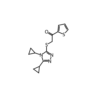 O=C(CSc1nnc(C2CC2)n1C1CC1)c1cccs1